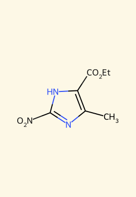 CCOC(=O)c1[nH]c([N+](=O)[O-])nc1C